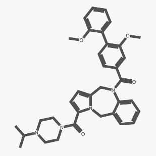 COc1ccccc1-c1ccc(C(=O)N2Cc3ccc(C(=O)N4CCN(C(C)C)CC4)n3Cc3ccccc32)cc1OC